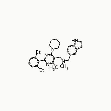 CCc1cccc(CC)c1-c1nc(C)c(CN(C)Cc2ccc3[nH]ccc3c2)c(N2CCCCC2)n1